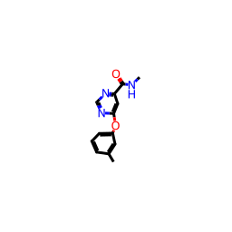 CNC(=O)c1cc(Oc2cccc(C)c2)ncn1